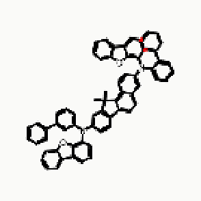 CC1(C)c2cc(N(c3cccc(-c4ccccc4)c3)c3cccc4c3oc3ccccc34)ccc2-c2ccc3cc(N(c4ccccc4-c4ccccc4)c4cccc5c4oc4ccccc45)ccc3c21